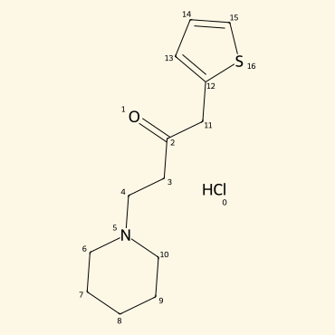 Cl.O=C(CCN1CCCCC1)Cc1cccs1